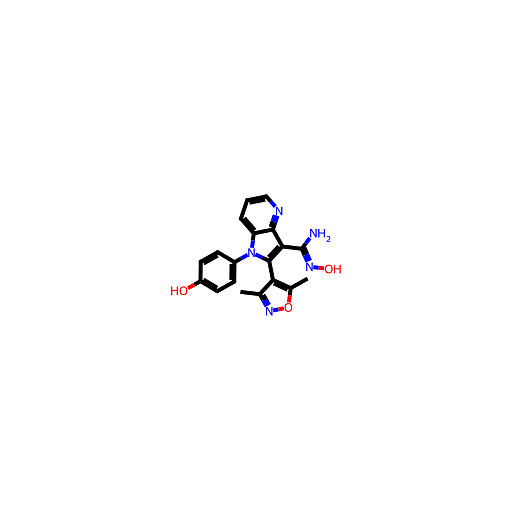 Cc1noc(C)c1-c1c(/C(N)=N/O)c2ncccc2n1-c1ccc(O)cc1